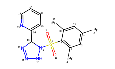 CC(C)c1cc(C(C)C)c(S(=O)(=O)N2NN=NC2c2ccccn2)c(C(C)C)c1